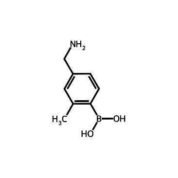 Cc1cc(CN)ccc1B(O)O